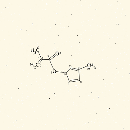 C=C(C)C(=O)OC1C=CC(C)=C1